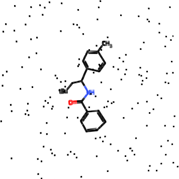 Cc1ccc(C(CC(C)(C)C)NC(=O)c2ccccc2)cc1